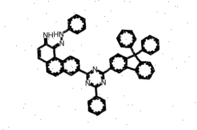 N=C1C=Cc2ccc3cc(-c4nc(-c5ccccc5)nc(-c5ccc6c(c5)-c5ccccc5C6(c5ccccc5)c5ccccc5)n4)ccc3c2/C1=N/Nc1ccccc1